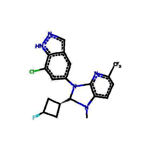 CN1c2ccc(C(F)(F)F)nc2N(c2cc(Cl)c3[nH]ncc3c2)C1[C@H]1C[C@H](F)C1